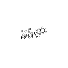 C[C@@H](O)[C@H](NC(=O)[C@@H]1CCC(c2ccccc2)N1)C(=O)NO